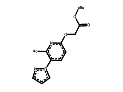 CCCCOC(=O)COc1ccc(-n2cccn2)c(C(C)=O)n1